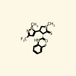 CN1CC(c2cc(C(F)(F)F)nn2C)[C@@H](C(=O)Nc2ccccc2F)C1=S